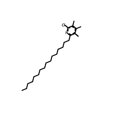 CCCCCCCCCCCCCCCCc1nc(Cl)c(C)c(C)c1C